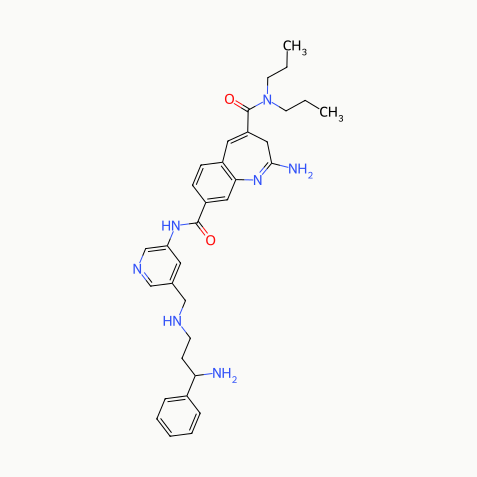 CCCN(CCC)C(=O)C1=Cc2ccc(C(=O)Nc3cncc(CNCCC(N)c4ccccc4)c3)cc2N=C(N)C1